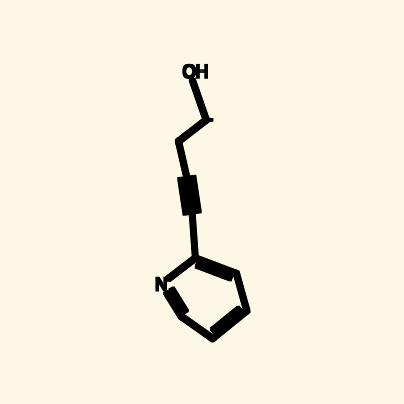 O[CH]CC#Cc1ccccn1